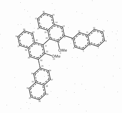 COc1c(-c2ccc3ccccc3c2)cc2ccccc2c1-c1c(OC)c(-c2ccc3ccccc3c2)cc2ccccc12